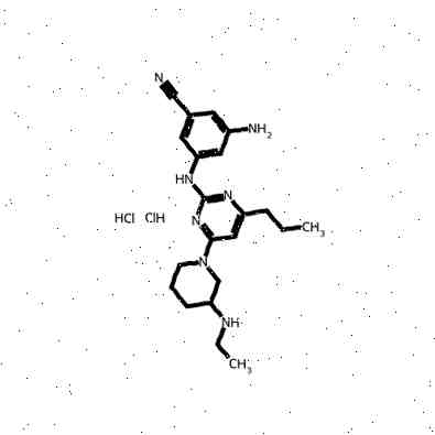 CCCc1cc(N2CCCC(NCC)C2)nc(Nc2cc(N)cc(C#N)c2)n1.Cl.Cl